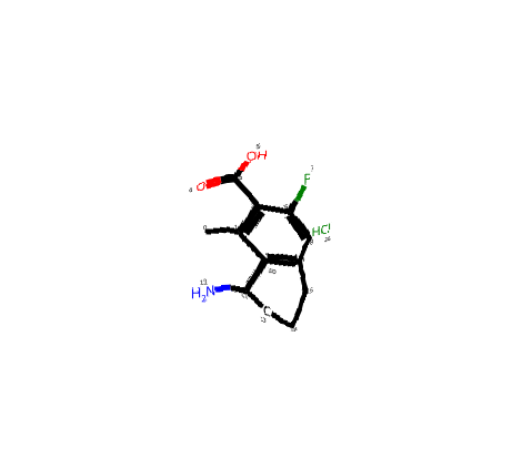 Cc1c(C(=O)O)c(F)cc2c1C(N)CCC2.Cl